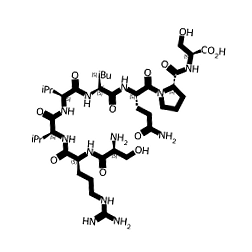 CC[C@H](C)[C@H](NC(=O)[C@@H](NC(=O)[C@@H](NC(=O)[C@H](CCCNC(=N)N)NC(=O)[C@@H](N)CO)C(C)C)C(C)C)C(=O)N[C@@H](CCC(N)=O)C(=O)N1CCC[C@H]1C(=O)N[C@@H](CO)C(=O)O